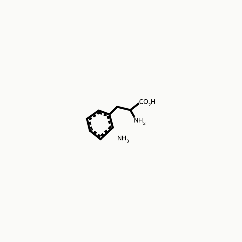 N.NC(Cc1ccccc1)C(=O)O